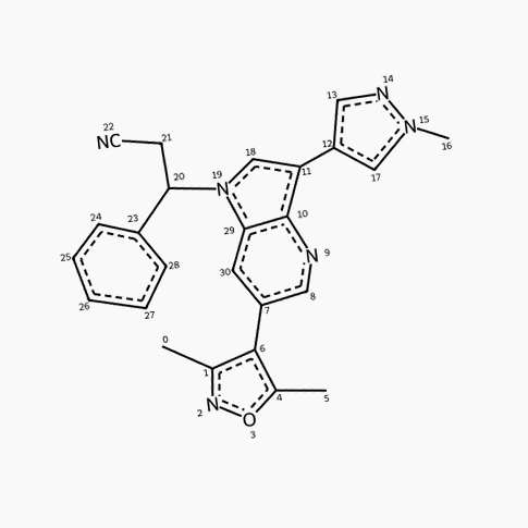 Cc1noc(C)c1-c1cnc2c(-c3cnn(C)c3)cn(C(CC#N)c3ccccc3)c2c1